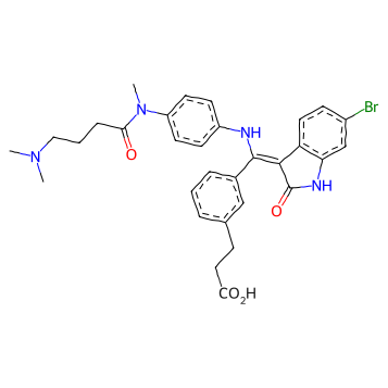 CN(C)CCCC(=O)N(C)c1ccc(NC(=C2C(=O)Nc3cc(Br)ccc32)c2cccc(CCC(=O)O)c2)cc1